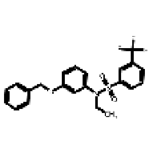 CCN(c1cccc(OCc2ccccc2)c1)S(=O)(=O)c1cccc(C(F)(F)F)c1